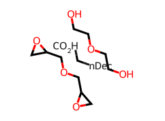 C(OCC1CO1)C1CO1.CCCCCCCCCCCC(=O)O.OCCOCCO